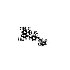 CCCCN(Cc1ccc(CCCN2C(=O)CCC2=O)c(OC)c1)C(CC(=O)O)c1ccc(Cl)cc1